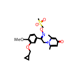 COc1ccc(C(Cn2c(C)cc(=O)cc2C)=NOCS(C)(=O)=O)cc1OCC1CC1